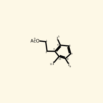 CC(=O)OCCc1c(I)ccc(I)c1I